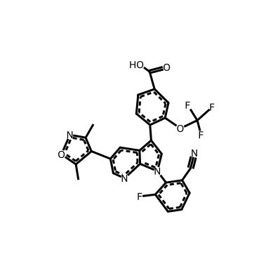 Cc1noc(C)c1-c1cnc2c(c1)c(-c1ccc(C(=O)O)cc1OC(F)(F)F)cn2-c1c(F)cccc1C#N